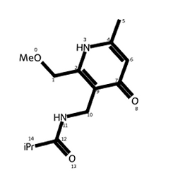 COCc1[nH]c(C)cc(=O)c1CNC(=O)C(C)C